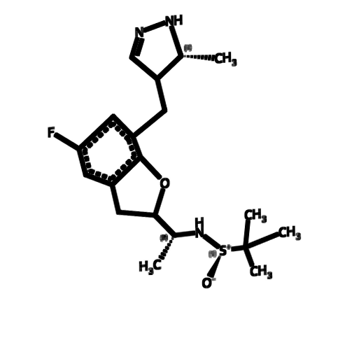 C[C@H]1NN=CC1Cc1cc(F)cc2c1OC([C@@H](C)N[S@+]([O-])C(C)(C)C)C2